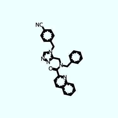 N#Cc1ccc(Cn2cnnc2CN(Cc2ccccc2)C(=O)c2ccc3ccccc3n2)cc1